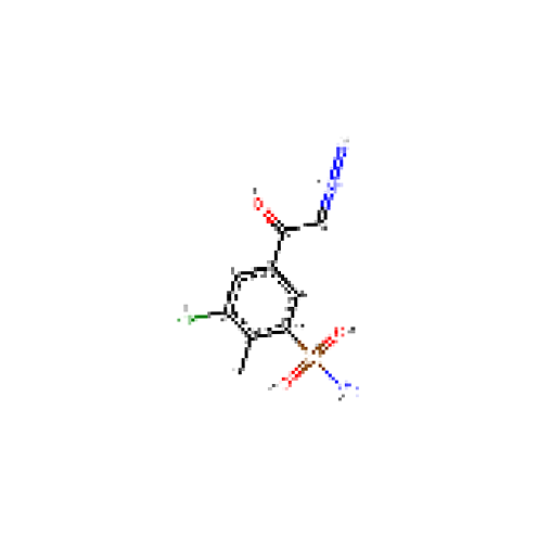 Cc1c(Cl)cc(C(=O)C=[N+]=[N-])cc1S(N)(=O)=O